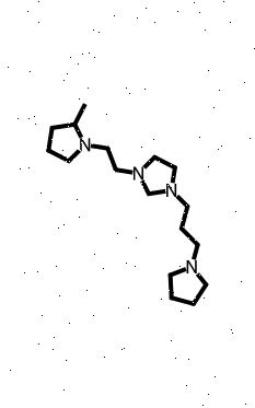 CC1CCCN1CCN1CCN(CCCN2CCCC2)C1